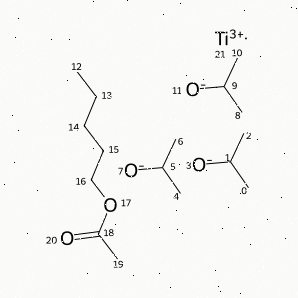 CC(C)[O-].CC(C)[O-].CC(C)[O-].CCCCCOC(C)=O.[Ti+3]